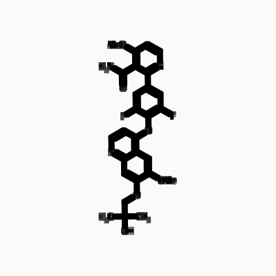 COc1cc2c(Oc3c(F)cc(-c4nccc(OC)c4C(N)=O)cc3F)ccnc2cc1OCC(C)(C)O